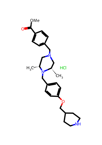 COC(=O)c1ccc(CN2C[C@@H](C)N(Cc3ccc(OCC4CCNCC4)cc3)[C@@H](C)C2)cc1.Cl